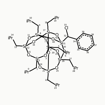 CC(C)C[Si]12O[Si]3(CC(C)C)O[Si]4(CC(C)C)O[Si](CC(C)C)(O1)O[Si]1(CC(C)C)O[Si](CC(C)C)(O2)O[Si](CC(C)C)(O3)O[Si](C(Cl)c2ccccc2)(O4)O1